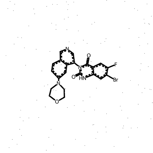 O=c1[nH]c2cc(Br)c(F)cc2c(=O)n1-c1cncc2ccc(N3CCOCC3)cc12